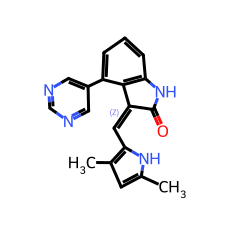 Cc1cc(C)c(/C=C2\C(=O)Nc3cccc(-c4cncnc4)c32)[nH]1